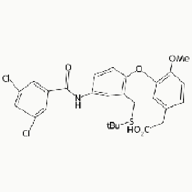 COc1ccc(CC(=O)O)cc1Oc1ccc(NC(=O)c2cc(Cl)cc(Cl)c2)cc1CSC(C)(C)C